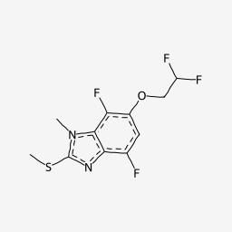 CSc1nc2c(F)cc(OCC(F)F)c(F)c2n1C